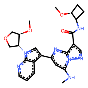 CNc1cc(-c2cn([C@@H]3COC[C@H]3OC)c3ncccc23)nc2c(C(=O)NC3CC[C@@H]3OC)cnn12